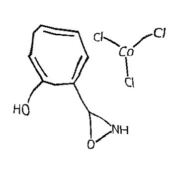 Oc1ccccc1C1NO1.[Cl][Co]([Cl])[Cl]